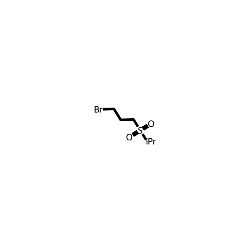 CC(C)S(=O)(=O)CCCBr